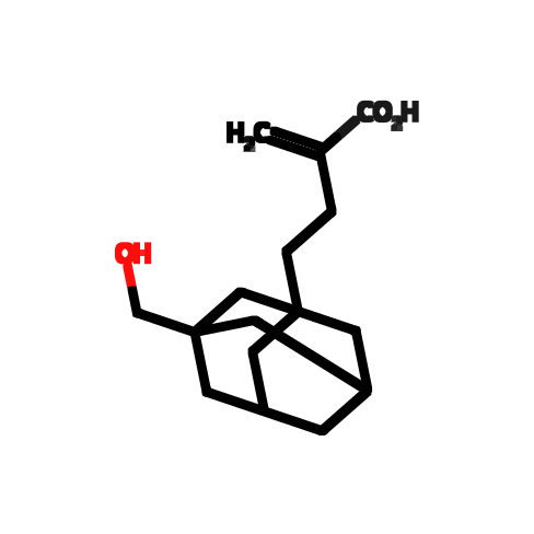 C=C(CCC12CC3CC(CC(CO)(C3)C1)C2)C(=O)O